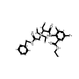 CCOC(=O)c1cc(F)cc(C)c1NC(=O)C(CC)[N+](CC)(CC)CC(=O)OCc1ccccc1